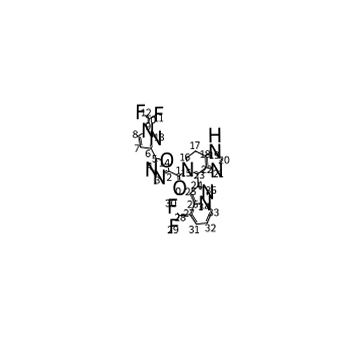 O=C(c1nnc(-c2ccn(C(F)F)n2)o1)N1CCc2[nH]cnc2[C@H]1c1cc2c(C(F)F)cccn2n1